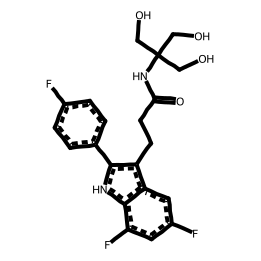 O=C(CCc1c(-c2ccc(F)cc2)[nH]c2c(F)cc(F)cc12)NC(CO)(CO)CO